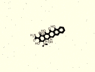 CN(C)[C@@H]1C(O)=C(C(N)=O)C(=O)[C@@]2(O)C(O)=C3C(=O)c4c(cc5ccccc5c4O)C[C@H]3[C@H](O)[C@@H]12